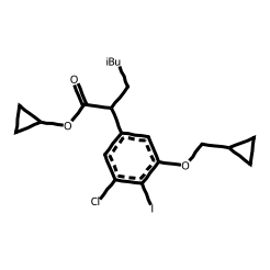 CCC(C)CC(C(=O)OC1CC1)c1cc(Cl)c(I)c(OCC2CC2)c1